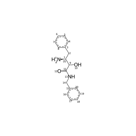 N[C@@H](Cc1ccccc1)C(O)C(=O)NCc1ccccc1